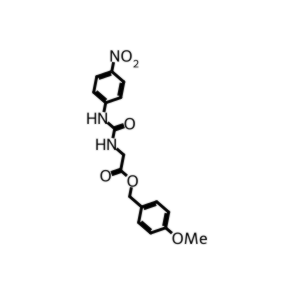 COc1ccc(COC(=O)CNC(=O)Nc2ccc([N+](=O)[O-])cc2)cc1